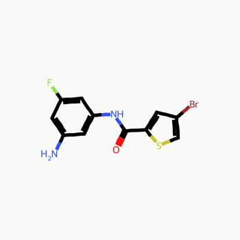 Nc1cc(F)cc(NC(=O)c2cc(Br)cs2)c1